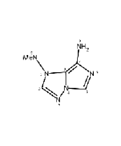 CNn1cnn2cnc(N)c12